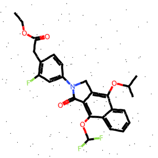 CCOC(=O)Cc1ccc(N2Cc3c(c(OC(F)F)c4ccccc4c3OC(C)C)C2=O)cc1F